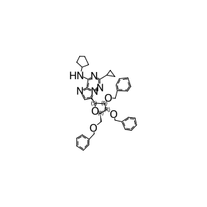 c1ccc(COC[C@H]2O[C@@H](c3cnc4c(NC5CCCC5)nc(C5CC5)nn34)[C@H](OCc3ccccc3)[C@@H]2OCc2ccccc2)cc1